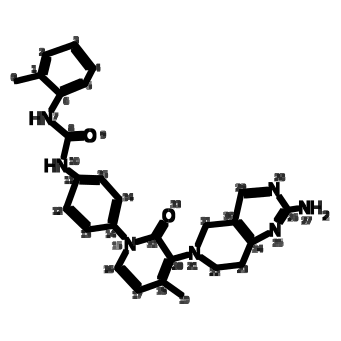 Cc1ccccc1NC(=O)Nc1ccc(-n2ccc(C)c(N3CCc4nc(N)ncc4C3)c2=O)cc1